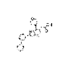 Cc1nc2cc(-c3cccc(-c4ccccc4)c3)nn2c(N2CCOCC2)c1CC(=O)O